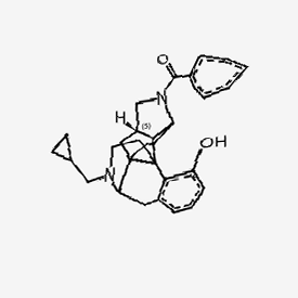 O=C(c1ccccc1)N1C[C@H]2CC34CCC1C2C31CCN(CC2CC2)C4Cc2cccc(O)c21